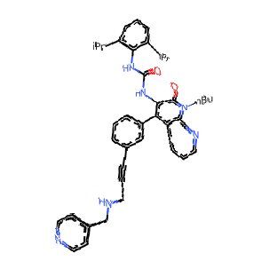 CCCCn1c(=O)c(NC(=O)Nc2c(C(C)C)cccc2C(C)C)c(-c2cccc(C#CCNCc3ccncc3)c2)c2cccnc21